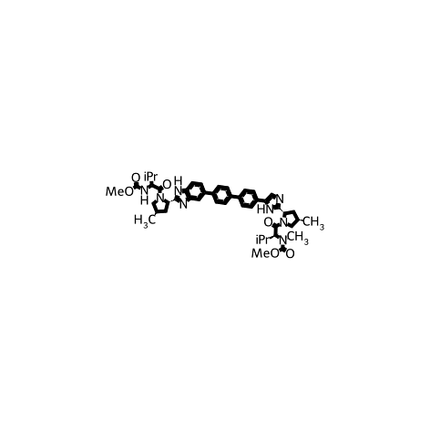 COC(=O)NC(C(=O)N1C[C@@H](C)C[C@H]1c1nc2cc(-c3ccc(-c4ccc(-c5cnc([C@@H]6C[C@H](C)CN6C(=O)[C@H](C(C)C)N(C)C(=O)OC)[nH]5)cc4)cc3)ccc2[nH]1)C(C)C